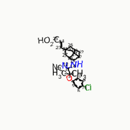 CC(C)(Oc1ccc(Cl)cc1)C(=NC#N)NC1C2CC3CC1CC(C=CC(=O)O)(C3)C2